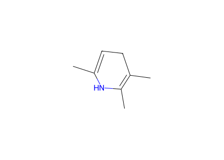 CC1=CCC(C)=C(C)N1